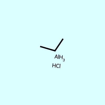 CCC.Cl.[AlH3]